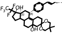 CC1(C)COC2(CCC3=C4C(CCC3(O)C2)C2CC[C@@](O)(C(F)(F)C(F)(F)F)[C@@]2(C)C[C@@H]4c2ccc(C=CC#N)cc2)OC1